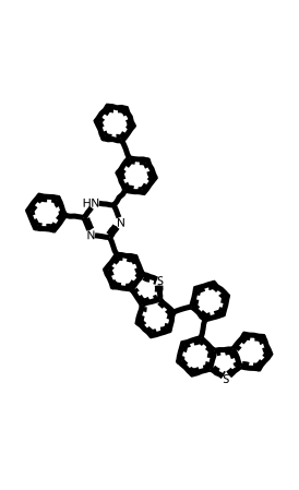 c1ccc(C2=NC(c3ccc4c(c3)sc3c(-c5ccccc5-c5cccc6sc7ccccc7c56)cccc34)=NC(c3cccc(-c4ccccc4)c3)N2)cc1